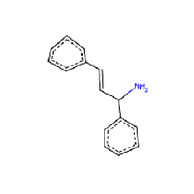 NC(C=Cc1ccccc1)c1cc[c]cc1